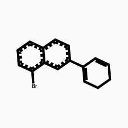 Brc1cccc2ccc(C3=CCCC=C3)cc12